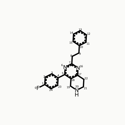 Fc1ccc(-c2nc(CCc3ccccc3)nc3c2CNCC3)cc1